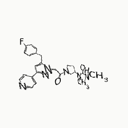 CNC(=O)N(C)C1CCN(C(=O)Cn2nc(-c3ccncc3)cc2Cc2ccc(F)cc2)C1